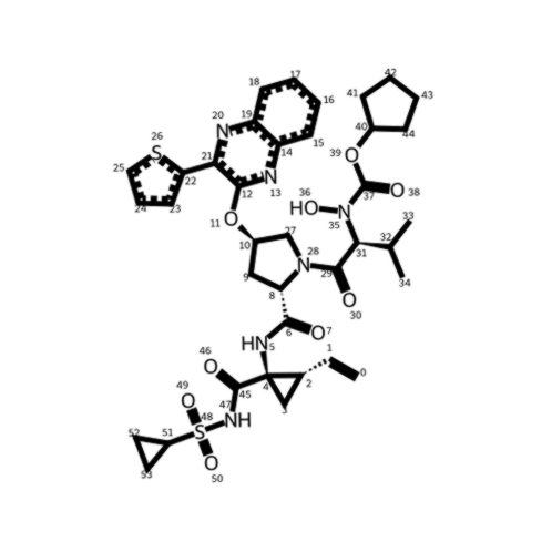 C=C[C@@H]1C[C@]1(NC(=O)[C@@H]1C[C@@H](Oc2nc3ccccc3nc2-c2cccs2)CN1C(=O)[C@H](C(C)C)N(O)C(=O)OC1CCCC1)C(=O)NS(=O)(=O)C1CC1